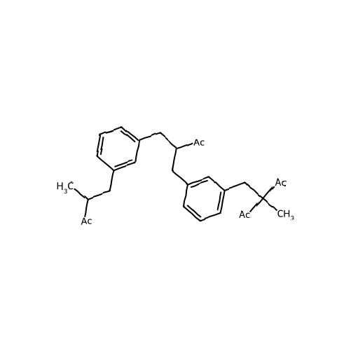 CC(=O)C(C)Cc1cccc(CC(Cc2cccc(CC(C)(C(C)=O)C(C)=O)c2)C(C)=O)c1